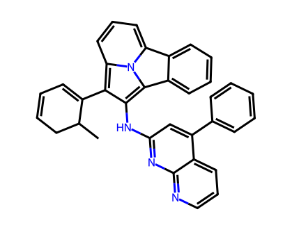 CC1CC=CC=C1c1c(Nc2cc(-c3ccccc3)c3cccnc3n2)c2c3ccccc3c3cccc1n32